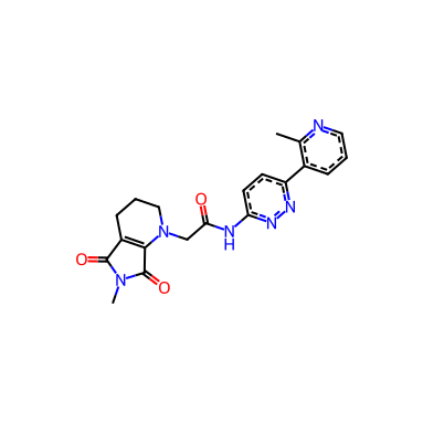 Cc1ncccc1-c1ccc(NC(=O)CN2CCCC3=C2C(=O)N(C)C3=O)nn1